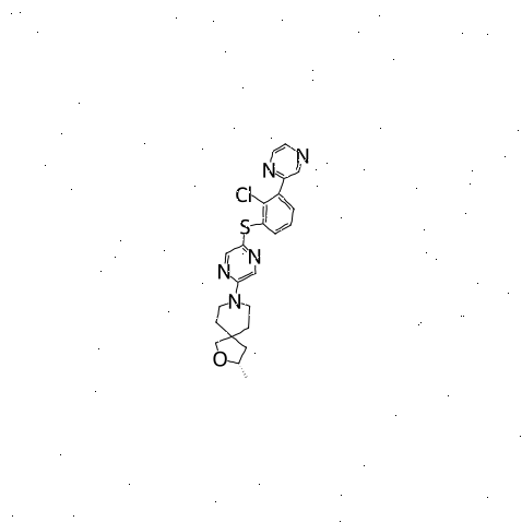 C[C@H]1CC2(CCN(c3cnc(Sc4cccc(-c5cnccn5)c4Cl)cn3)CC2)CO1